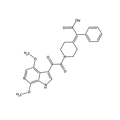 COc1ncc(OC)c2c(C(=O)C(=O)N3CCC(=C(C(=O)O)c4ccccc4)CC3)c[nH]c12